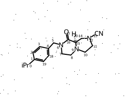 CC(C)c1ccc(CN2CCN3CCN(C#N)C[C@@H]3C2=O)cc1